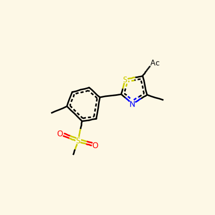 CC(=O)c1sc(-c2ccc(C)c(S(C)(=O)=O)c2)nc1C